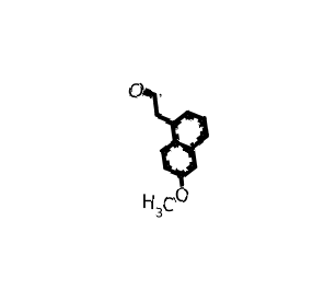 COc1ccc2c(C[C]=O)cccc2c1